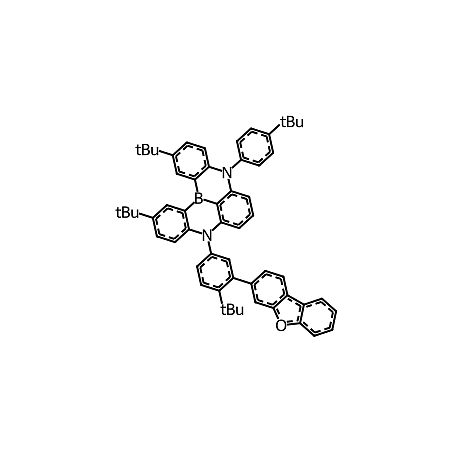 CC(C)(C)c1ccc(N2c3ccc(C(C)(C)C)cc3B3c4cc(C(C)(C)C)ccc4N(c4ccc(C(C)(C)C)c(-c5ccc6c(c5)oc5ccccc56)c4)c4cccc2c43)cc1